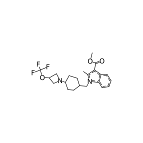 COC(=O)c1c(C)n(CC2CCC(N3CC(OC(F)(F)F)C3)CC2)c2ccccc12